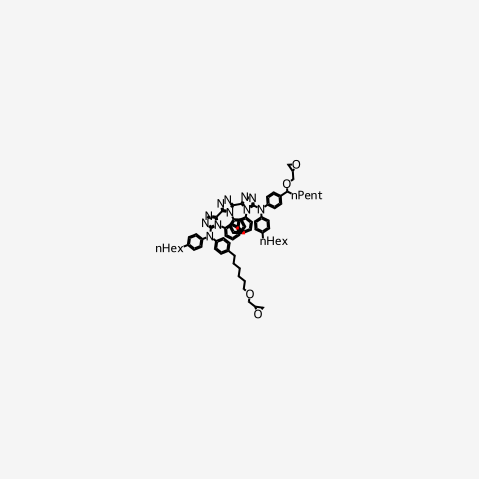 CCCCCCc1ccc(N(c2ccc(CCCCCCOCC3CO3)cc2)c2nnc(-c3nnc(-c4nnc(N(c5ccc(CCCCCC)cc5)c5ccc(C(CCCCC)OCC6CO6)cc5)n4-c4ccccc4)n3-c3ccccc3)n2-c2ccccc2)cc1